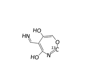 N=CC1=C(O)N=[13CH]OC=C1O